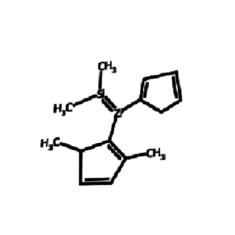 CC1=[C]([Zr]([C]2=CC=CC2)=[Si](C)C)C(C)C=C1